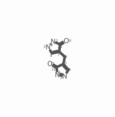 O=C1N=NC=C1[CH]C1=CN=NC1=O